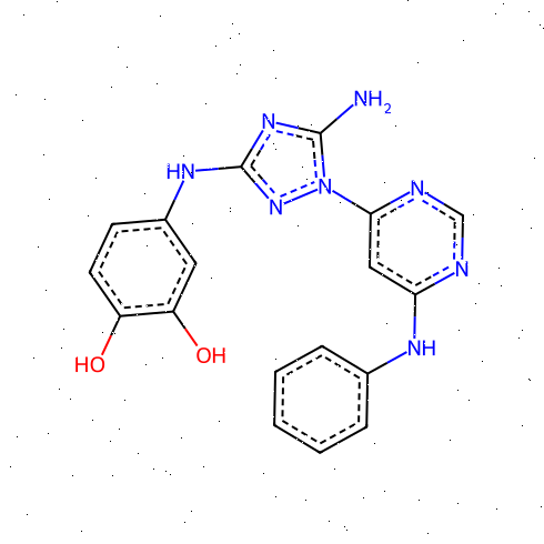 Nc1nc(Nc2ccc(O)c(O)c2)nn1-c1cc(Nc2ccccc2)ncn1